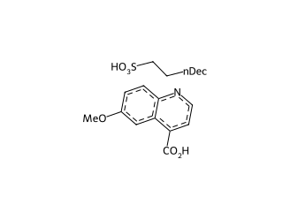 CCCCCCCCCCCCS(=O)(=O)O.COc1ccc2nccc(C(=O)O)c2c1